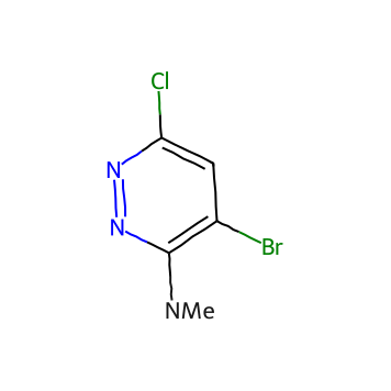 CNc1nnc(Cl)cc1Br